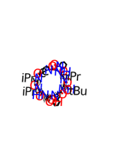 CC(C)C[C@H]1C(=O)N(C)[C@@H](CC(C)C)C(=O)N[C@@H]([C@@H](C)O)C(=O)N(C)[C@@H](Cc2ccccc2)C(=O)N[C@@H](COC(C)(C)C)C(=O)N(C)[C@@H](CC(C)C)C(=O)NC(C(=O)N2CCCCC2)C(=O)N(C)CCC(=O)N1C